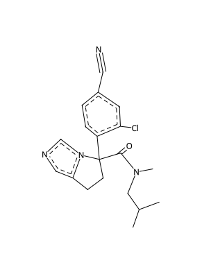 CC(C)CN(C)C(=O)C1(c2ccc(C#N)cc2Cl)CCc2cncn21